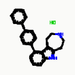 Cl.c1ccc(-c2ccc(-c3cccc4[nH]c5c(c34)CCNCC5)cc2)cc1